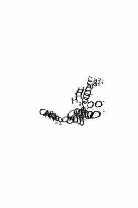 O.O.O.O=C([O-])[O-].O=C([O-])[O-].O=C([O-])[O-].O=C([O-])[O-].O=C([O-])[O-].[Al+3].[Al+3].[Al+3].[Ca+2].[Ca+2].[Ca+2].[OH-].[OH-].[OH-].[OH-].[OH-]